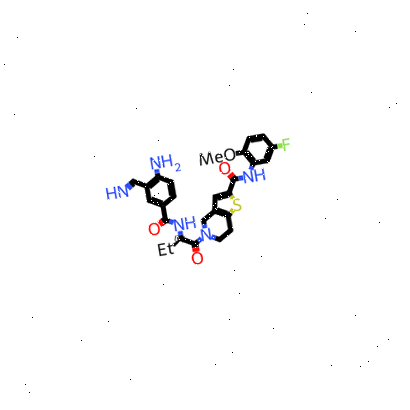 CC[C@@H](NC(=O)c1ccc(N)c(C=N)c1)C(=O)N1CCc2sc(C(=O)Nc3cc(F)ccc3OC)cc2C1